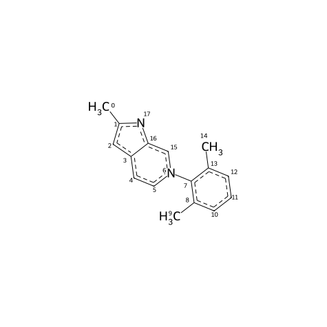 Cc1cc2ccn(-c3c(C)cccc3C)cc-2n1